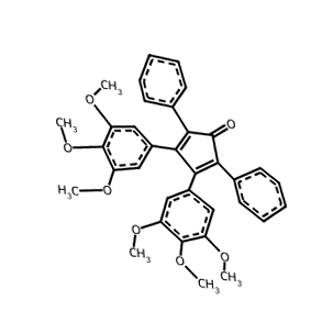 COc1cc(C2=C(c3ccccc3)C(=O)C(c3ccccc3)=C2c2cc(OC)c(OC)c(OC)c2)cc(OC)c1OC